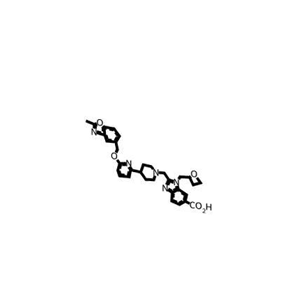 Cc1nc2cc(COc3cccc(C4CCN(Cc5nc6ccc(C(=O)O)cc6n5CC5CCO5)CC4)n3)ccc2o1